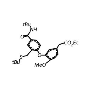 CCOC(=O)Cc1ccc(OC)c(Oc2ccc(C(=O)NC(C)(C)C)cc2CSC(C)(C)C)c1